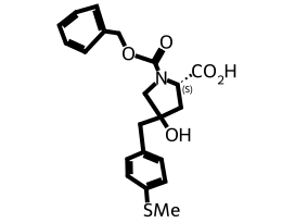 CSc1ccc(CC2(O)C[C@@H](C(=O)O)N(C(=O)OCc3ccccc3)C2)cc1